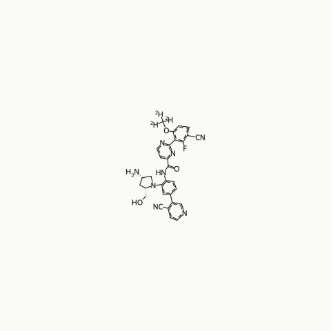 [2H]C([2H])([2H])Oc1ccc(C#N)c(F)c1-c1nccc(C(=O)Nc2ccc(-c3cnccc3C#N)cc2N2C[C@@H](N)C[C@H]2CO)n1